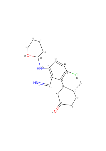 C[C@@H]1CCC(=O)CC1c1c(Cl)ccc(NC2CCCCO2)c1C=N